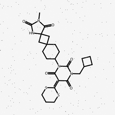 CN1C(=O)NC2(CC3(CCC(N4C(=O)C(=C5SCCCS5)C(=O)N(CC5CCC5)C4=O)CC3)C2)C1=O